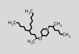 CCCCCCC(CCCCC)CC[C@H](C)OC1CCN(CC(C)CCCC)CC1